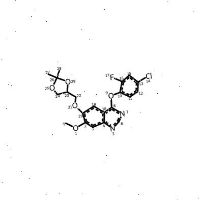 COc1cc2ncnc(Oc3ccc(Cl)cc3F)c2cc1OCC1COC(C)(C)O1